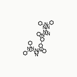 c1ccc(-c2cc(-c3cncc(-n4c5ccccc5c5cc(-c6ccc7c(c6)c6ccccc6n7-c6cncc(-c7nc(-c8ccccc8)nc(-c8ccccc8)n7)n6)ccc54)n3)nc(-c3ccccc3)n2)cc1